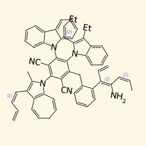 C=C/C=C\c1c2c(n(-c3c(C#N)c(Cc4ccccc4/C(C=C)=C(N)/C=C\C)c(-n4c(/C=C\CC)c(CC)c5ccccc54)c(-n4c5ccccc5c5ccccc54)c3C#N)c1C)C=CCC=C2